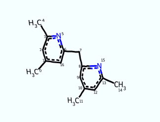 Cc1cc(C)nc(Cc2cc(C)cc(C)n2)c1